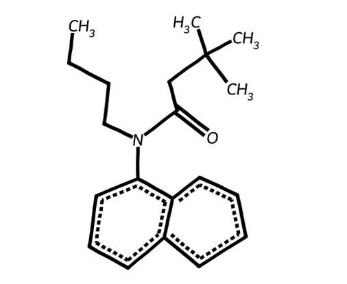 CCCCN(C(=O)CC(C)(C)C)c1cccc2ccccc12